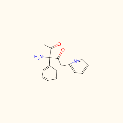 CC(=O)C(N)(C(=O)Cc1ccccn1)c1ccccc1